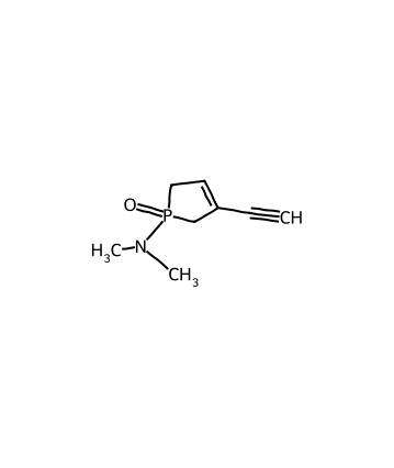 C#CC1=CCP(=O)(N(C)C)C1